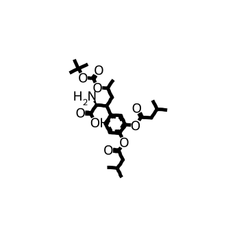 CC(C)CC(=O)Oc1ccc(C(CC(C)OC(=O)OC(C)(C)C)[C@H](N)C(=O)O)cc1OC(=O)CC(C)C